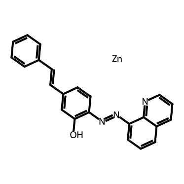 Oc1cc(C=Cc2ccccc2)ccc1N=Nc1cccc2cccnc12.[Zn]